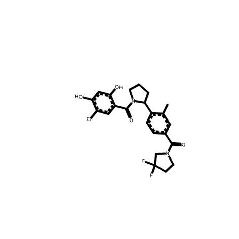 Cc1cc(C(=O)N2CCC(F)(F)C2)ccc1C1CCCN1C(=O)c1cc(Cl)c(O)cc1O